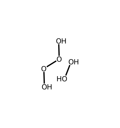 OO.OOOO